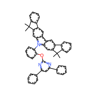 CC1(C)c2ccccc2-c2cc3c4cc5c(cc4n(-c4ccccc4Oc4nc(-c6ccccc6)cc(-c6ccccc6)n4)c3cc21)C(C)(C)c1ccccc1-5